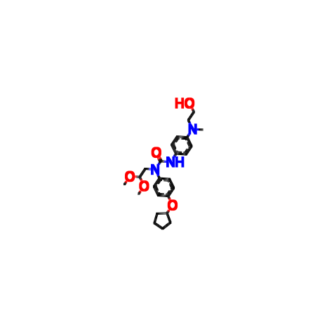 COC(CN(C(=O)Nc1ccc(N(C)CCO)cc1)c1ccc(OC2CCCC2)cc1)OC